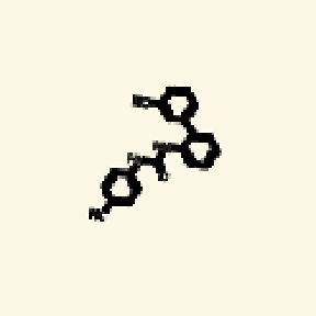 N#Cc1ccc(NC(=O)Nc2ccccc2-c2cccc(C#N)c2)cc1